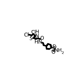 NS(=O)(=O)c1ccc(CCNC(=O)c2cc3sc(Cl)c(Cl)c3[nH]2)cc1